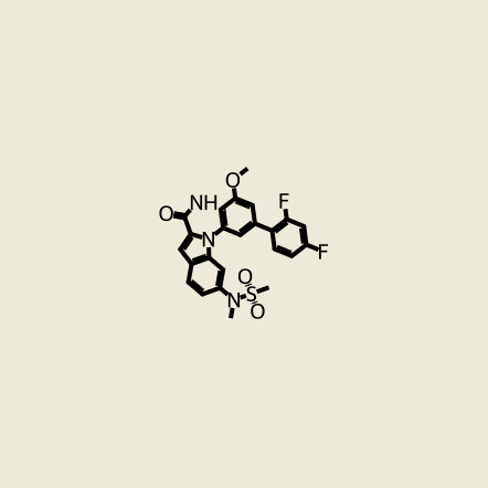 COc1cc(-c2ccc(F)cc2F)cc(-n2c(C(N)=O)cc3ccc(N(C)S(C)(=O)=O)cc32)c1